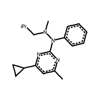 Cc1cc(C2CC2)nc(N(c2ccccc2)N(C)CC(C)C)n1